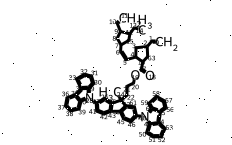 C=CC1CC(/C=C\C2CC(C=C)C(CC)C2)C(C(=O)OCCCC2(C)c3cc(-n4c5ccccc5c5ccccc54)ccc3-c3ccc(-n4c5ccccc5c5ccccc54)cc32)C1